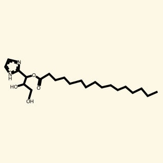 CCCCCCCCCCCCCCCC(=O)OC(c1ncc[nH]1)C(O)CO